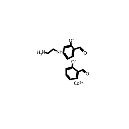 NCCN.O=Cc1ccccc1[O-].O=Cc1ccccc1[O-].[Co+2]